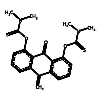 C=C1c2cccc(OC(=S)N(C)C)c2C(=O)c2c(OC(=S)N(C)C)cccc21